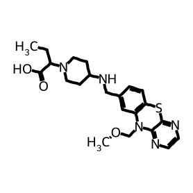 CCC(C(=O)O)N1CCC(NCc2ccc3c(c2)N(COC)c2nccnc2S3)CC1